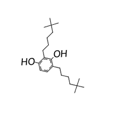 CC(C)(C)CCCCc1ccc(O)c(CCCCC(C)(C)C)c1O